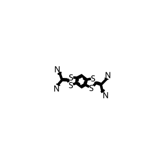 N#CC(C#N)=C1Sc2cc3c(cc2S1)SC(=C(C#N)C#N)S3